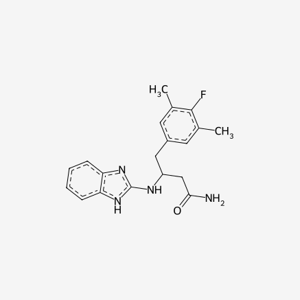 Cc1cc(CC(CC(N)=O)Nc2nc3ccccc3[nH]2)cc(C)c1F